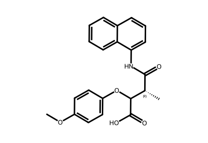 COc1ccc(OC(C(=O)O)[C@@H](C)C(=O)Nc2cccc3ccccc23)cc1